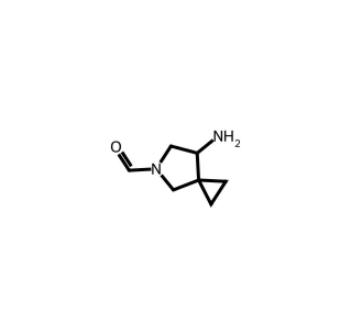 NC1CN(C=O)CC12CC2